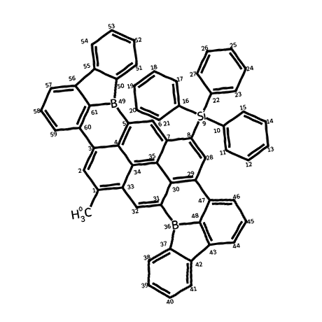 Cc1cc2c3c(cc4c([Si](c5ccccc5)(c5ccccc5)c5ccccc5)cc5c6c(cc1c3c46)B1c3ccccc3-c3cccc-5c31)B1c3ccccc3-c3cccc-2c31